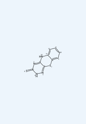 S=c1nc2c(n[nH]1)Sc1ccccc1N2